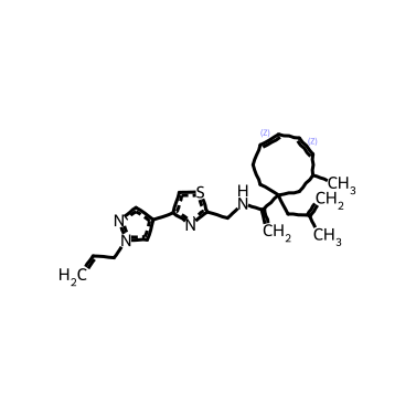 C=CCn1cc(-c2csc(CNC(=C)C3(CC(=C)C)CC/C=C\C=C/C(C)C3)n2)cn1